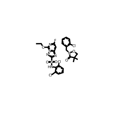 CC1(C)CON(Cc2ccccc2Cl)C1=O.CCOc1nc(F)cc2nc(S(=O)(=O)Nc3c(Cl)cccc3Cl)nn12